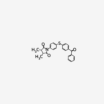 CC1C(=O)N(c2ccc(Sc3ccc(C(=O)c4ccccc4)cc3)cc2)C(=O)C1C